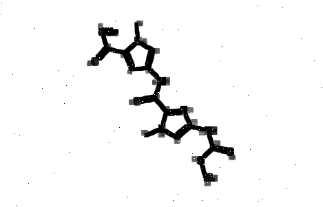 COC(=O)c1cc(NC(=O)c2nc(NC(=O)OC(C)(C)C)cn2C)cn1C